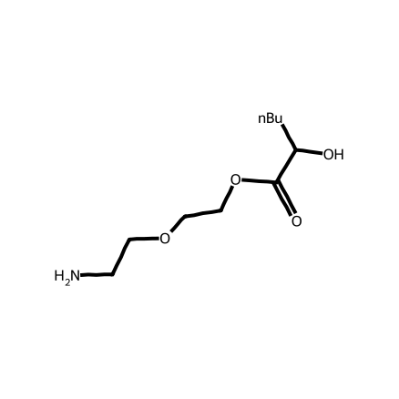 CCCCC(O)C(=O)OCCOCCN